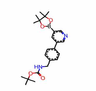 CC(C)(C)OC(=O)NCc1ccc(-c2cncc(B3OC(C)(C)C(C)(C)O3)c2)cc1